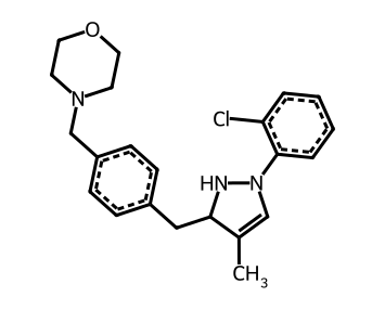 CC1=CN(c2ccccc2Cl)NC1Cc1ccc(CN2CCOCC2)cc1